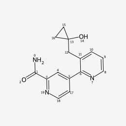 NC(=O)c1cc(-c2ncccc2CC2(O)CC2)ccn1